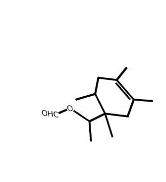 CC1=C(C)CC(C)(C(C)OC=O)C(C)C1